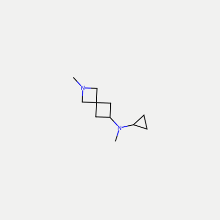 CN1CC2(CC(N(C)C3CC3)C2)C1